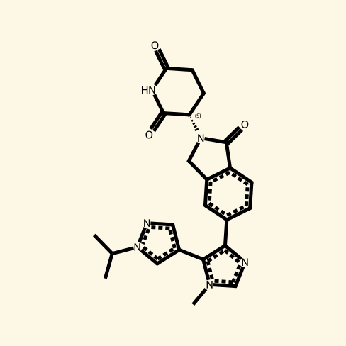 CC(C)n1cc(-c2c(-c3ccc4c(c3)CN([C@H]3CCC(=O)NC3=O)C4=O)ncn2C)cn1